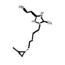 CC1C[C@H]1CCCCCN1N/C(=C\C=N)NC1O